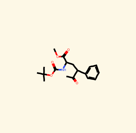 COC(=O)C(CC(C(C)=O)c1ccccc1)NC(=O)OC(C)(C)C